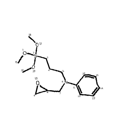 CO[Si](CCCN(CC1CO1)c1ccccc1)(OC)OC